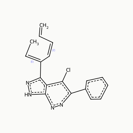 C=C/C=C\C(=C/C)c1n[nH]c2nnc(-c3ccccc3)c(Cl)c12